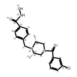 C[C@@H]1CN(C(=O)c2cccc(Cl)c2)C[C@H](C)N1Cc1ccc(C(=O)NO)cc1